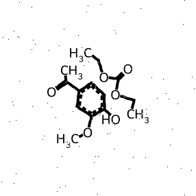 CCOC(=O)OCC.COc1cc(C(C)=O)ccc1O